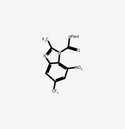 CCCCCC(=O)n1c(C(F)(F)F)nc2cc(C(F)(F)F)cc([N+](=O)[O-])c21